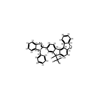 CC(C)(C)C1(C)c2cc(-c3nc4ccccc4n3-c3ccccc3)ccc2-c2c1ccc1oc3ccccc3c21